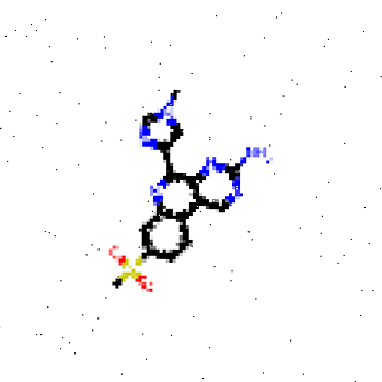 Cn1cnc(-c2nc3cc(S(C)(=O)=O)ccc3c3cnc(N)nc23)c1